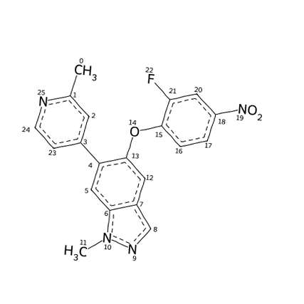 Cc1cc(-c2cc3c(cnn3C)cc2Oc2ccc([N+](=O)[O-])cc2F)ccn1